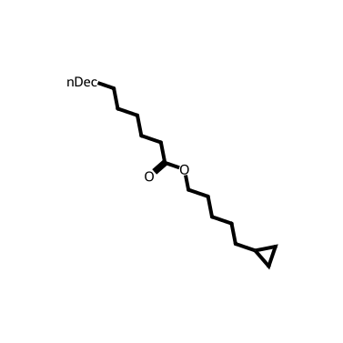 CCCCCCCCCCCCCCCC(=O)OCCCCCC1CC1